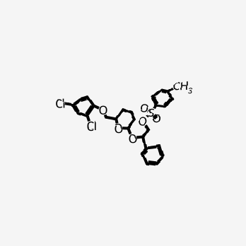 Cc1ccc(S(=O)(=O)OCC(OC2CCCC(COc3ccc(Cl)cc3Cl)O2)c2ccccc2)cc1